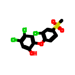 CS(=O)(=O)c1ccc(Oc2cc(Cl)c(Cl)cc2O)c(Cl)c1